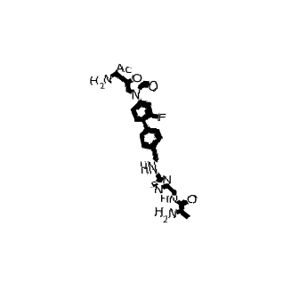 CC(=O)[C@@H](N)C1CN(c2ccc(-c3ccc(CNc4nc(CNC(=O)C(C)N)ns4)cc3)c(F)c2)C(=O)O1